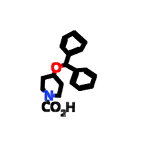 O=C(O)N1CCC(OC(c2ccccc2)c2ccccc2)CC1